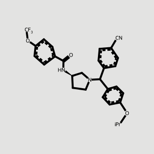 CC(C)Oc1ccc(C(c2ccc(C#N)cc2)N2CC[C@@H](NC(=O)c3ccc(OC(F)(F)F)cc3)C2)cc1